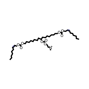 CCCCCC/C=C\COC(=O)OCCCCCCCCC(CCCCCCCCOC(=O)OC/C=C\CCCCCC)OC(=O)OCCN(C)C